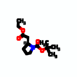 CCOC(=O)C[C@@H]1CCCN1C(=O)OC(C)(C)C